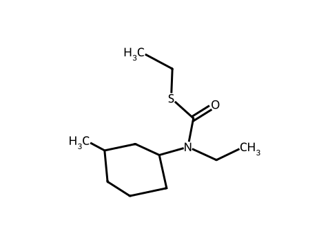 CCSC(=O)N(CC)C1CCCC(C)C1